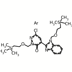 C[Si](C)(C)CCOCn1nc(Cl)cc(-c2nc3ccccc3n2COCC[Si](C)(C)C)c1=O.[Ar]